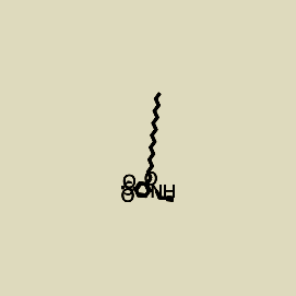 C#CCNc1ccc(S(C)(=O)=O)cc1OCCCCCCCCCCCCCC